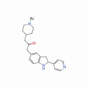 CC(=O)N1CCC(CC(=O)Cc2ccc3c(c2)CC(c2ccncc2)N3)CC1